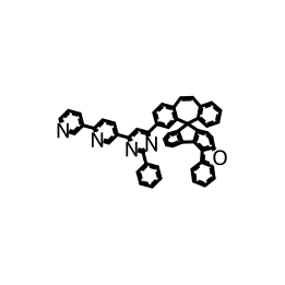 C1=Cc2ccc(-c3cc(-c4ccc(-c5cccnc5)nc4)nc(-c4ccccc4)n3)cc2C2(c3ccccc31)c1ccccc1-c1c2ccc2oc3ccccc3c12